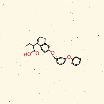 CCC(C(=O)O)C1=CCCc2cc(OCc3cccc(Oc4ccccc4)c3)ccc21